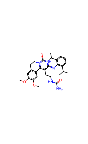 COc1cc2c(cc1OC)-c1c(CCNC(N)=O)c(=Nc3c(C(C)C)cccc3C(C)C)[nH]c(=O)n1CC2